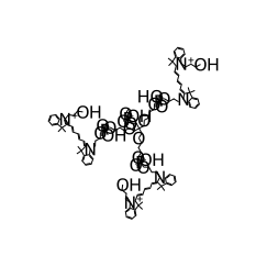 COP(=O)(O)OCC(COCCCOP(=O)(O)OCCCN1/C(=C/C=C/C=C/C2=[N+](CCCO)c3ccccc3C2(C)C)C(C)(C)c2ccccc21)(COCCCOP(=O)(O)OCCCN1/C(=C/C=C/C=C/C2=[N+](CCCO)c3ccccc3C2(C)C)C(C)(C)c2ccccc21)COCCCOP(=O)(O)OCCCN1/C(=C/C=C/C=C/C2=[N+](CCCO)c3ccccc3C2(C)C)C(C)(C)c2ccccc21